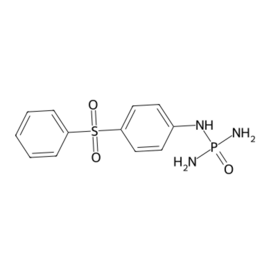 NP(N)(=O)Nc1ccc(S(=O)(=O)c2ccccc2)cc1